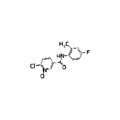 Cc1cc(F)ccc1NC(=O)c1ccc(Cl)[n+]([O-])c1